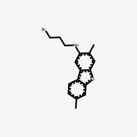 Cc1ccc2c(c1)sc1cc(C)c(NCCCBr)cc12